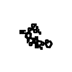 Bn1c(COC2CCCCO2)nn(-c2cc(O[C@@H](C)C(F)(F)F)c(C#N)cc2F)c1=O